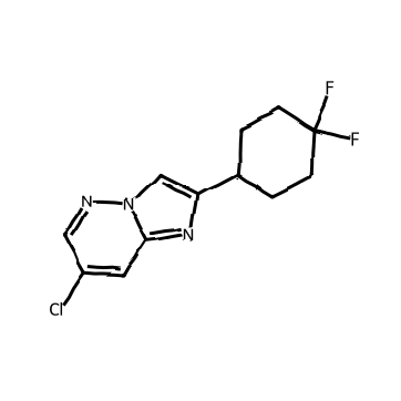 FC1(F)CC[C](c2cn3ncc(Cl)cc3n2)CC1